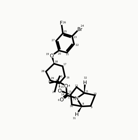 CC(C)(C)OC(=O)N1[C@@H]2CC[C@H]1C[C@H](O[C@H]1CC[C@H](Oc3ccc(Br)c(F)c3)CC1)C2